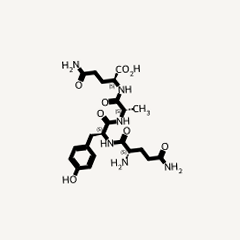 C[C@H](NC(=O)[C@H](Cc1ccc(O)cc1)NC(=O)[C@@H](N)CCC(N)=O)C(=O)N[C@@H](CCC(N)=O)C(=O)O